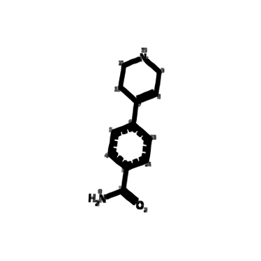 NC(=O)c1ccc(C2=CC[N]CC2)cc1